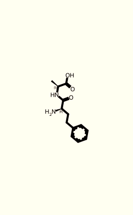 C[C@H](NC(=O)[C@H](N)CCc1ccccc1)C(=O)O